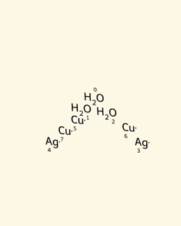 O.O.O.[Ag].[Ag].[Cu].[Cu].[Cu]